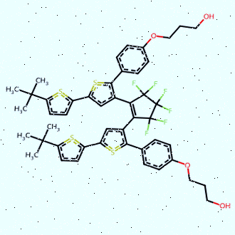 CC(C)(C)c1ccc(-c2cc(C3=C(c4cc(-c5ccc(C(C)(C)C)s5)sc4-c4ccc(OCCCO)cc4)C(F)(F)C(F)(F)C3(F)F)c(-c3ccc(OCCCO)cc3)s2)s1